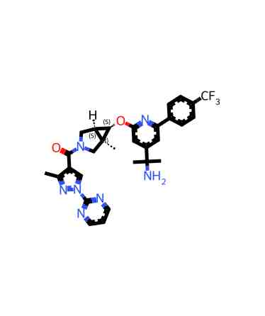 Cc1nn(-c2ncccn2)cc1C(=O)N1C[C@H]2[C@H](Oc3cc(C(C)(C)N)cc(-c4ccc(C(F)(F)F)cc4)n3)[C@@]2(C)C1